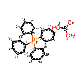 [O-]B(O)O.c1ccc([P+](c2ccccc2)(c2ccccc2)c2ccccc2)cc1